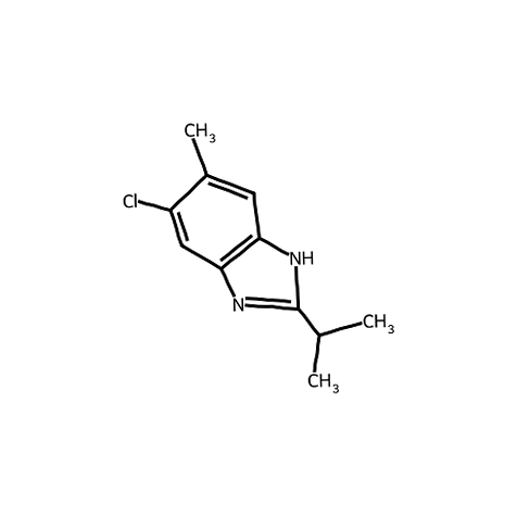 Cc1cc2[nH]c(C(C)C)nc2cc1Cl